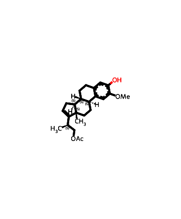 COc1cc2c(cc1O)CC[C@@H]1[C@@H]2CC[C@]2(C)C([C@H](C)COC(C)=O)=CC[C@@H]12